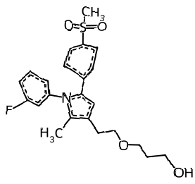 Cc1c(CCOCCCO)cc(-c2ccc(S(C)(=O)=O)cc2)n1-c1cccc(F)c1